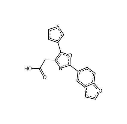 O=C(O)Cc1nc(-c2ccc3occc3c2)oc1-c1ccsc1